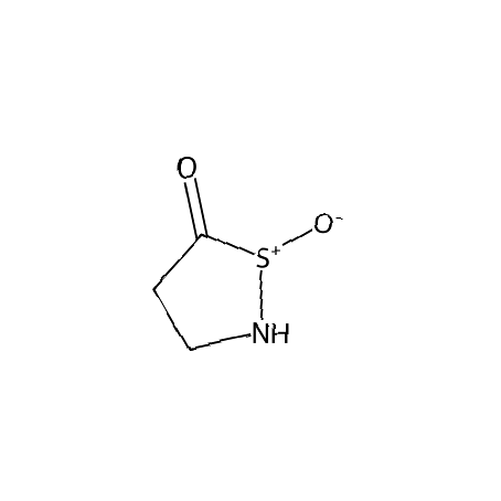 O=C1CCN[S+]1[O-]